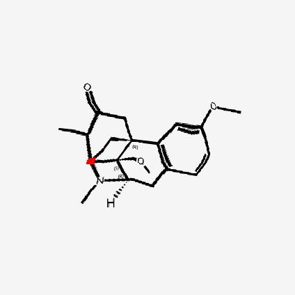 COc1ccc2c(c1)[C@]13CCN(C)[C@H](C2)[C@]1(OC)CC(C)C(=O)C3